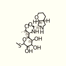 CSC1O[C@H]([C@H](NC(=O)[C@H]2NC[C@@H]3CCCO[C@H]32)[C@H](C)Cl)[C@@H](O)C(O)[C@H]1O